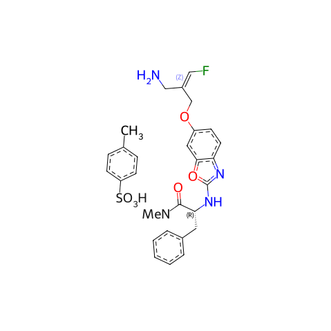 CNC(=O)[C@@H](Cc1ccccc1)Nc1nc2ccc(OC/C(=C\F)CN)cc2o1.Cc1ccc(S(=O)(=O)O)cc1